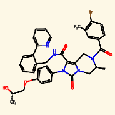 C[C@H]1Cn2c(c(C(=O)NCc3ccccc3-c3ccccn3)n(-c3ccc(OC[C@@H](O)C(F)(F)F)cc3)c2=O)CN1C(=O)c1ccc(Br)c(C(F)(F)F)c1